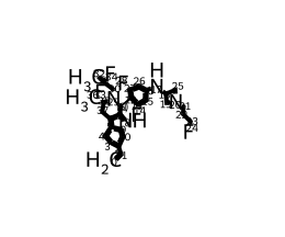 C=Cc1ccc2c3c([nH]c2c1)[C@H](c1c(F)cc(NC2CN(CCCF)C2)cc1F)N(CC(C)(F)F)C(C)C3